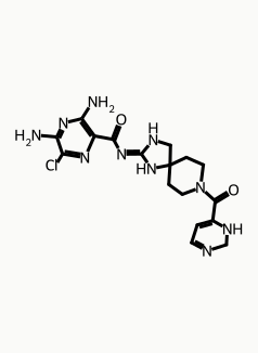 Nc1nc(N)c(C(=O)/N=C2\NCC3(CCN(C(=O)C4=CC=NCN4)CC3)N2)nc1Cl